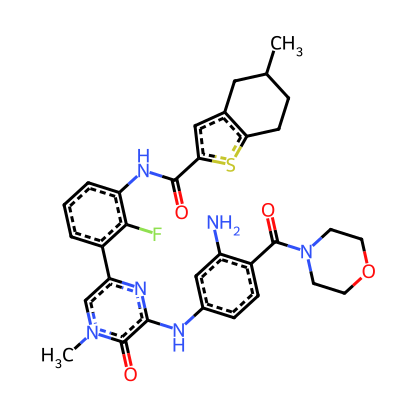 CC1CCc2sc(C(=O)Nc3cccc(-c4cn(C)c(=O)c(Nc5ccc(C(=O)N6CCOCC6)c(N)c5)n4)c3F)cc2C1